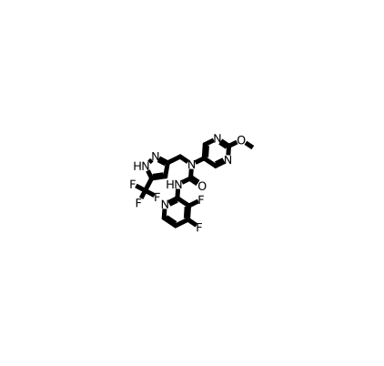 COc1ncc(N(Cc2cc(C(F)(F)F)[nH]n2)C(=O)Nc2nccc(F)c2F)cn1